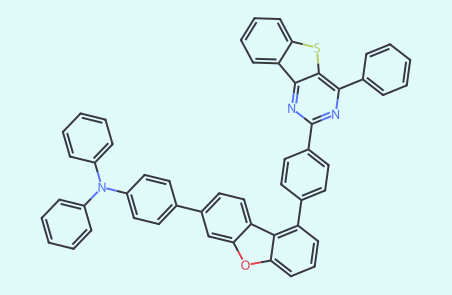 c1ccc(-c2nc(-c3ccc(-c4cccc5oc6cc(-c7ccc(N(c8ccccc8)c8ccccc8)cc7)ccc6c45)cc3)nc3c2sc2ccccc23)cc1